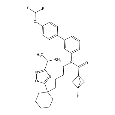 CC(C)c1noc(C2(CCCCN(C(=O)C34CC(F)(C3)C4)c3cccc(-c4ccc(OC(F)F)cc4)c3)CCCCC2)n1